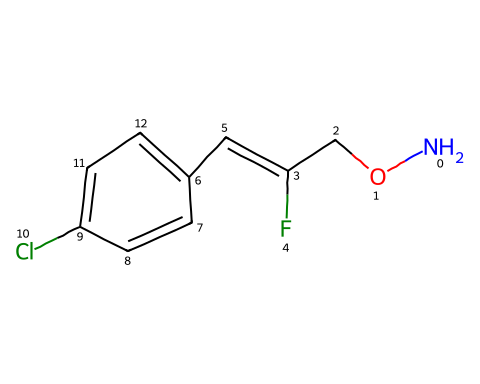 NOCC(F)=Cc1ccc(Cl)cc1